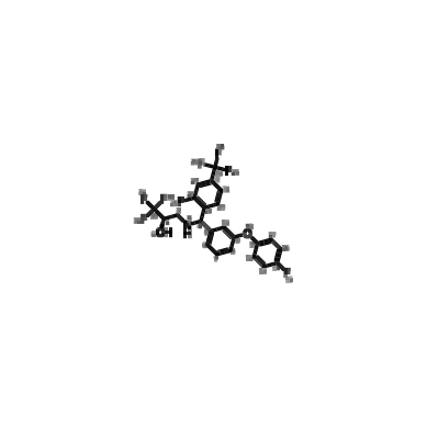 O[C@H](CNC(c1cccc(Oc2ccc(F)cc2)c1)c1ccc(C(F)(F)F)cc1F)C(F)(F)F